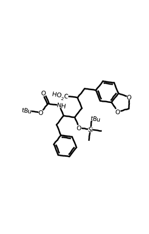 CC(C)(C)OC(=O)NC(Cc1ccccc1)C(CC(Cc1ccc2c(c1)OCO2)C(=O)O)O[Si](C)(C)C(C)(C)C